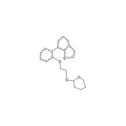 c1ccc(-c2cccc3ccsc23)c(OCCOC2CCCCO2)c1